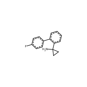 NC1(c2ccccc2-c2ccc(F)cc2)CC1